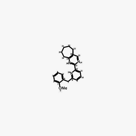 COc1ccccc1Cc1cccc(-c2ncc3c(n2)CCCCC3)n1